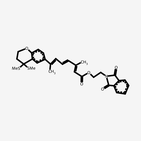 CSC1(SC)CCOc2ccc(C(C)=CC=CC(C)=CC(=O)OCCN3C(=O)c4ccccc4C3=O)cc21